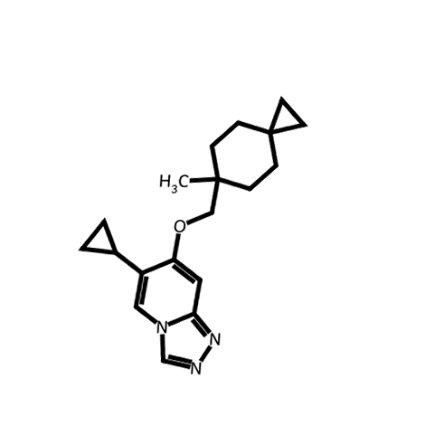 CC1(COc2cc3nncn3cc2C2CC2)CCC2(CC1)CC2